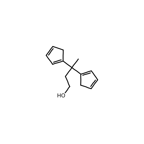 CC(CCO)(C1=CC=CC1)C1=CC=CC1